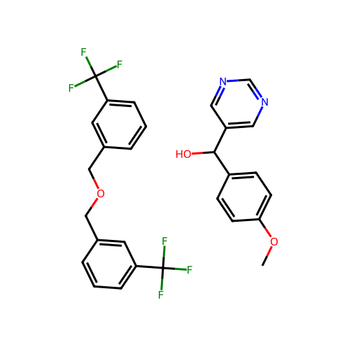 COc1ccc(C(O)c2cncnc2)cc1.FC(F)(F)c1cccc(COCc2cccc(C(F)(F)F)c2)c1